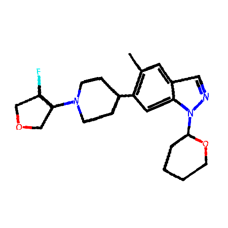 Cc1cc2cnn(C3CCCCO3)c2cc1C1CCN(C2COCC2F)CC1